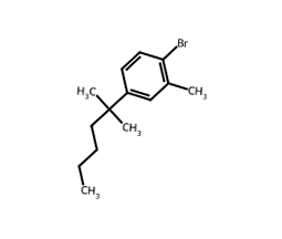 CCCCC(C)(C)c1ccc(Br)c(C)c1